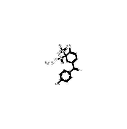 O=C(C1=CC=C(Cl)C(S(=O)(=O)[O-])(S(=O)(=O)[O-])C1)c1ccc(Cl)cc1.[Na+].[Na+]